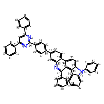 c1ccc(-c2cc(-c3ccccc3)nc(-c3ccc(-c4ccc5c(c4)nc(-c4ccccc4)c4c5ccc5c4c4ccccc4n5-c4ccccc4)cc3)n2)cc1